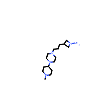 CN1CCC(N2CCN(CCCC3CN(N)C3)CC2)CC1